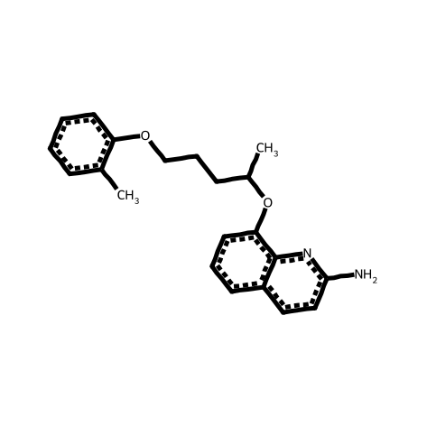 Cc1ccccc1OCCCC(C)Oc1cccc2ccc(N)nc12